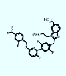 COCCn1c(Cc2cc(F)c(-c3nc(OCc4ccc(C(F)F)cc4F)ccc3F)cc2F)nc2ccc(C(=O)O)cc21